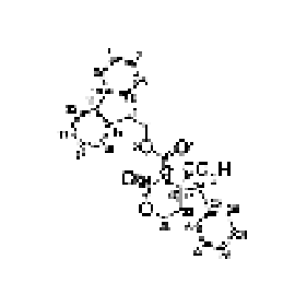 O=C(OCC1c2ccccc2-c2ccccc21)N1[S@@](=O)OCC[C@@]1(Cc1ccccc1)C(=O)O